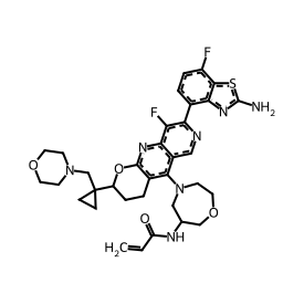 C=CC(=O)NC1COCCN(c2c3c(nc4c(F)c(-c5ccc(F)c6sc(N)nc56)ncc24)OC(C2(CN4CCOCC4)CC2)CC3)C1